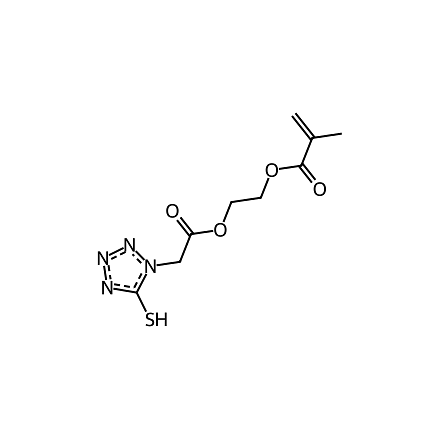 C=C(C)C(=O)OCCOC(=O)Cn1nnnc1S